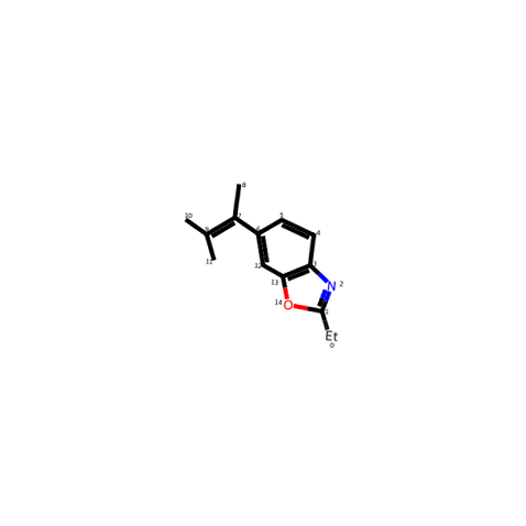 CCc1nc2ccc(C(C)=C(C)C)cc2o1